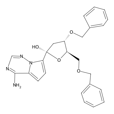 Nc1ncnn2c([C@@]3(O)C[C@H](OCc4ccccc4)[C@@H](COCc4ccccc4)O3)ccc12